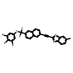 Cc1ccc2nc(C#Cc3ccc4cc(C(F)(F)Oc5cc(F)c(F)c(F)c5)ccc4c3)sc2c1